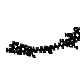 CC(C)(CCCCCCCO[N+](=O)OCCCCCCCC(C)(C)c1ccc([C@H]2CCC[C@H](O)C2)c(O)c1)c1ccc([C@H]2CCC[C@H](O)C2)c(O)c1